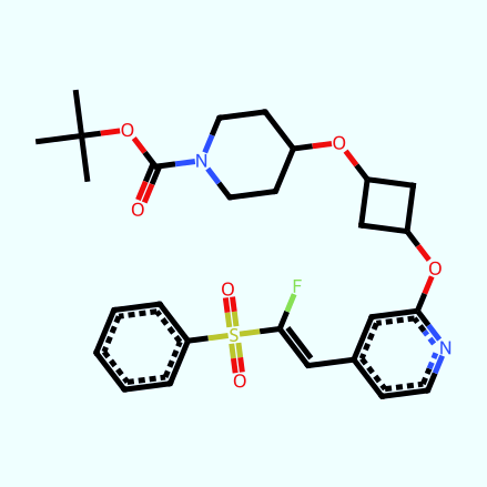 CC(C)(C)OC(=O)N1CCC(OC2CC(Oc3cc(C=C(F)S(=O)(=O)c4ccccc4)ccn3)C2)CC1